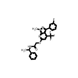 CC(NC(=O)COc1cc(C(F)(F)F)c2c(-c3cccc(F)c3)nn(C)c2n1)c1ccccc1